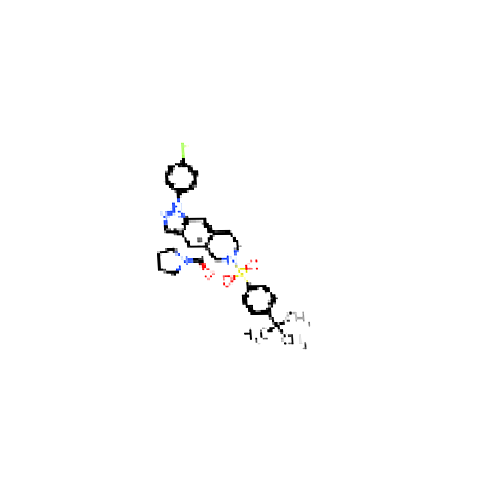 CC(C)(C)c1ccc(S(=O)(=O)N2CCC3=Cc4c(cnn4-c4ccc(F)cc4)C[C@]3(C(=O)N3CCCC3)C2)cc1